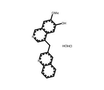 COc1cc2cncc(Cc3cnc4ccccc4c3)c2cc1O.Cl.Cl